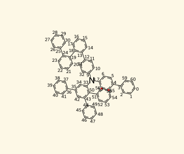 c1ccc(-c2ccc(N(c3ccc(-c4ccccc4-c4ccccc4-c4ccccc4)cc3)c3cc(-c4ccccc4)cc(-c4ccccc4)c3-c3ccccc3)cc2)cc1